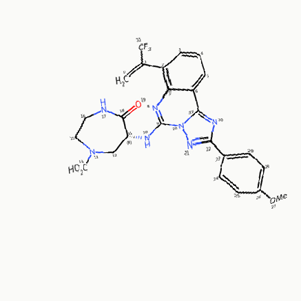 C=C(c1cccc2c1nc(N[C@@H]1CN(C(=O)O)CCNC1=O)n1nc(-c3ccc(OC)cc3)nc21)C(F)(F)F